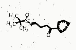 CC(C)(C)[S@@+]([O-])/N=C/CCC(=O)c1ccccc1